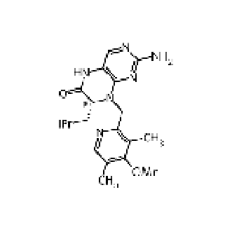 COc1c(C)cnc(CN2c3nc(N)ncc3NC(=O)[C@H]2CC(C)C)c1C